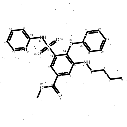 CCCCNc1cc(C(=O)OC)cc(S(=O)(=O)Nc2ccccn2)c1Oc1ccccc1